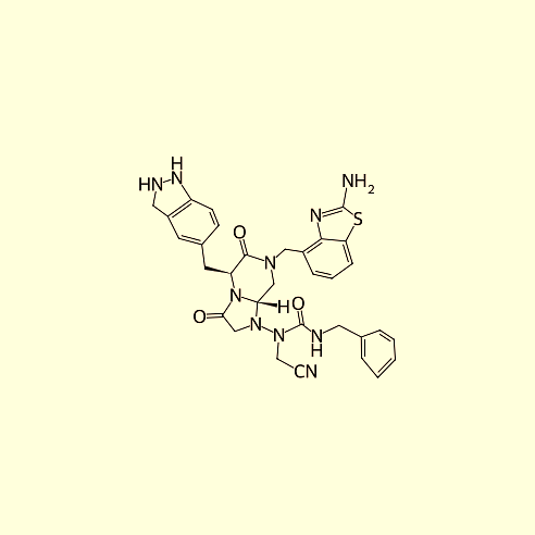 N#CCN(C(=O)NCc1ccccc1)N1CC(=O)N2[C@@H](Cc3ccc4c(c3)CNN4)C(=O)N(Cc3cccc4sc(N)nc34)C[C@@H]21